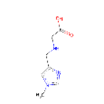 Cn1cnc(CNCC(=O)O)c1